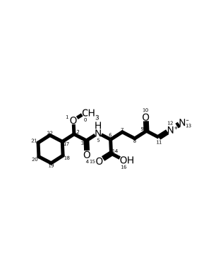 COC(C(=O)NC(CCC(=O)C=[N+]=[N-])C(=O)O)C1CCCCC1